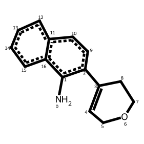 Nc1c(C2=CCOCC2)ccc2ccccc12